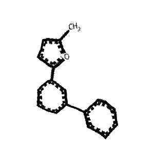 Cc1ccc(-c2cccc(-c3ccccc3)c2)o1